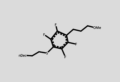 CCCCCCCCCCCCSc1c(F)c(F)c(CCCOC)c(F)c1F